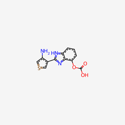 Nc1cscc1-c1nc2c(OC(=O)O)cccc2[nH]1